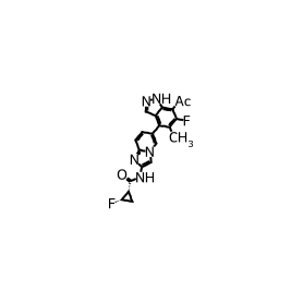 CC(=O)c1c(F)c(C)c(-c2ccc3nc(NC(=O)[C@@H]4C[C@@H]4F)cn3c2)c2cn[nH]c12